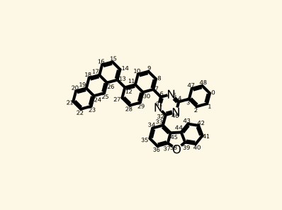 c1ccc(-c2nc(-c3cccc4c(-c5cccc6cc7ccccc7cc56)cccc34)nc(-c3cccc4oc5ccccc5c34)n2)cc1